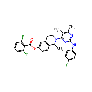 Cc1nc(Nc2ccc(F)cc2)nc(N2CCc3cc(OC(=O)c4c(F)cccc4F)ccc3C2C)c1C